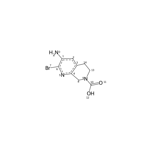 Nc1cc2c(nc1Br)CN(C(=O)O)CC2